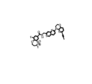 CC#Cc1ccc2c(n1)N(c1ccc3cnc(CNC(=O)c4cc(F)c5c(c4)S(=O)(=O)[C@@H](F)CCO5)cc3n1)CCO2